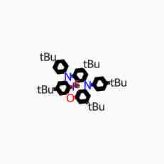 CC(C)(C)c1ccc(N2c3cc(C(C)(C)C)cc4c3P3(=S)c5c(cc(C(C)(C)C)cc5N(c5ccc(C(C)(C)C)cc5)c5cc(C(C)(C)C)cc2c53)O4)cc1